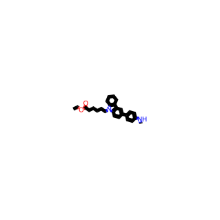 CCOC(=O)CCCCCn1c2c(c3cc(-c4ccc(NC)cc4)ccc31)CCCC2